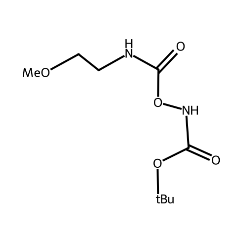 COCCNC(=O)ONC(=O)OC(C)(C)C